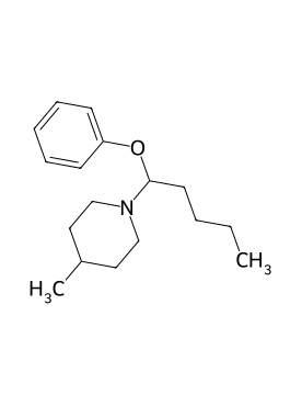 CCCCC(Oc1ccccc1)N1CCC(C)CC1